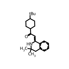 CC1(C)Cc2ccccc2/C(=C/C(=O)C2CCC(C(C)(C)C)CC2)N1